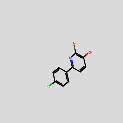 Oc1ccc(-c2ccc(Cl)cc2)nc1Br